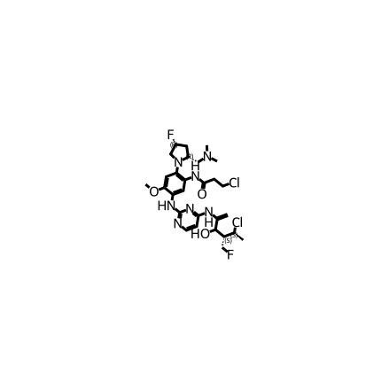 C=C(Nc1ccnc(Nc2cc(NC(=O)CCCl)c(N3C[C@H](F)C[C@@H]3CN(C)C)cc2OC)n1)C(O)[C@@H](CF)[C@H](C)Cl